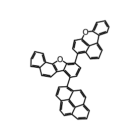 c1ccc2c(c1)Oc1ccc(-c3ccc(-c4ccc5ccc6cccc7ccc4c5c67)c4c3oc3c5ccccc5ccc34)c3cccc-2c13